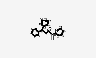 O=C(CC(c1ccccc1)c1ccccc1)Nc1ccccn1